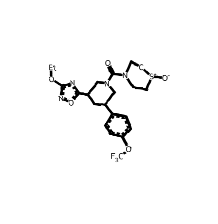 CCOc1noc(C2CC(c3ccc(OC(F)(F)F)cc3)CN(C(=O)N3CC[S+]([O-])CC3)C2)n1